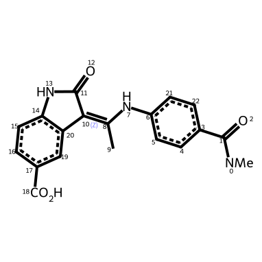 CNC(=O)c1ccc(N/C(C)=C2\C(=O)Nc3ccc(C(=O)O)cc32)cc1